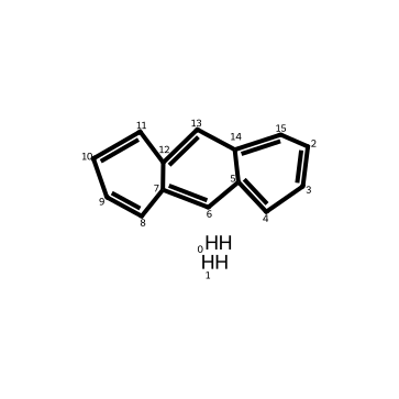 [HH].[HH].c1ccc2cc3ccccc3cc2c1